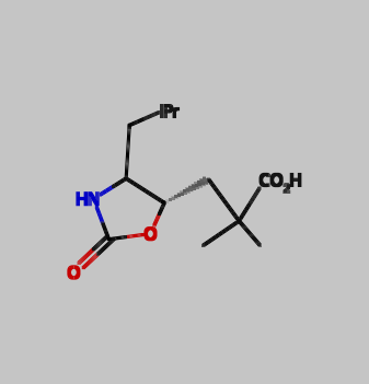 CC(C)CC1NC(=O)O[C@H]1CC(C)(C)C(=O)O